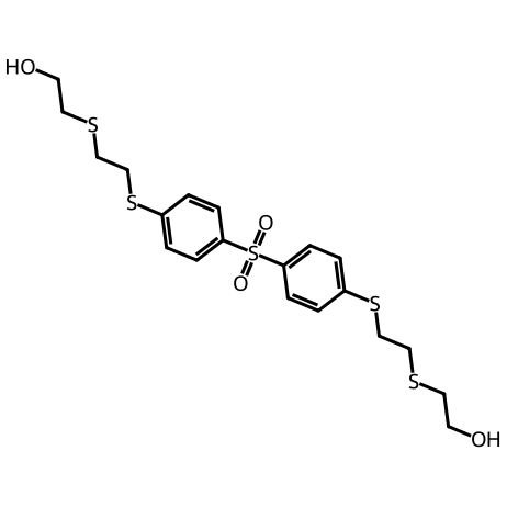 O=S(=O)(c1ccc(SCCSCCO)cc1)c1ccc(SCCSCCO)cc1